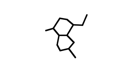 CCC1CCC(C)C2CCC(C)CC12